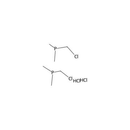 CP(C)CCl.CP(C)CCl.Cl.Cl